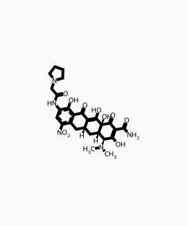 CN(C)[C@@H]1C(O)=C(C(N)=O)C(=O)[C@@]2(O)C(O)=C3C(=O)c4c(O)c(NC(=O)CN5CCCC5)cc([N+](=O)[O-])c4C[C@H]3C[C@@H]12